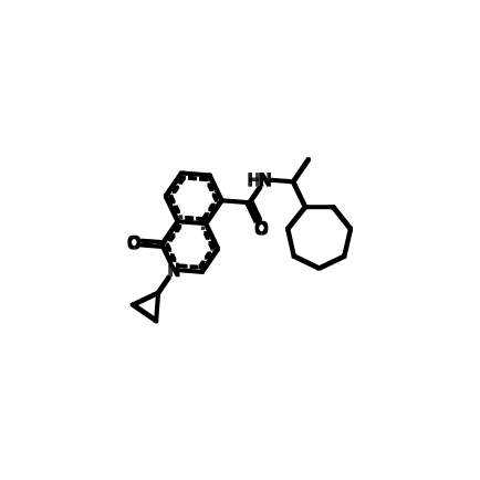 CC(NC(=O)c1cccc2c(=O)n(C3CC3)ccc12)C1CCCCCC1